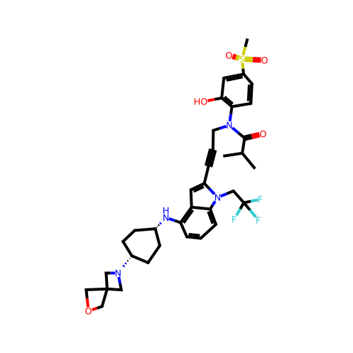 CC(C)C(=O)N(CC#Cc1cc2c(N[C@H]3CC[C@@H](N4CC5(COC5)C4)CC3)cccc2n1CC(F)(F)F)c1ccc(S(C)(=O)=O)cc1O